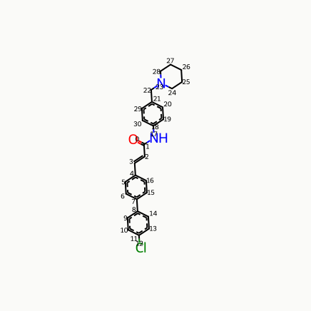 O=C(C=Cc1ccc(-c2ccc(Cl)cc2)cc1)Nc1ccc(CN2CCCCC2)cc1